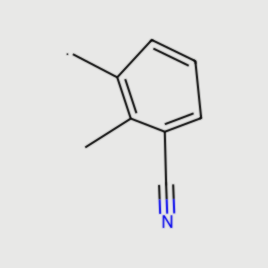 [CH2]c1cccc(C#N)c1C